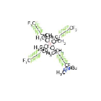 CCCCn1cc[n+](C)c1.C[Si](C)(CCC(F)(F)C(F)(F)C(F)(F)C(F)(F)C(F)(F)C(F)(F)F)c1ccc([B-](c2ccc([Si](C)(C)CCC(F)(F)C(F)(F)C(F)(F)C(F)(F)C(F)(F)C(F)(F)F)cc2)(c2ccc([Si](C)(C)CCC(F)(F)C(F)(F)C(F)(F)C(F)(F)C(F)(F)C(F)(F)F)cc2)c2ccc([Si](C)(C)CCC(F)(F)C(F)(F)C(F)(F)C(F)(F)C(F)(F)C(F)(F)F)cc2)cc1